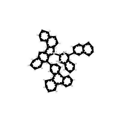 c1ccc2cc(-c3nc(-n4c5ccc6ccccc6c5c5cc6ccccc6c(-c6ccc7c8ccccc8c8ccccc8c7c6)c54)nc4ccccc34)ccc2c1